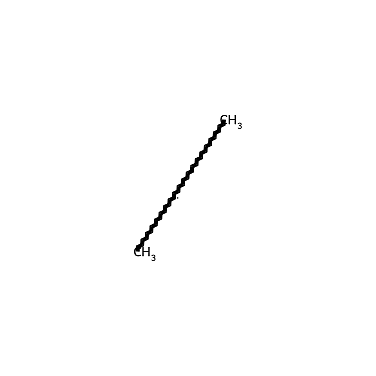 CCCCCCCCCCCCCCCC[CH]CCCCCCCCCCCCCCCCCCCCCCC